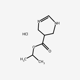 CC(C)OC(=O)C1CN=CNC1.Cl